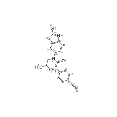 CC(C)CN(C(=O)Oc1ccc(C#N)cc1)c1ccc2nc(S)sc2n1